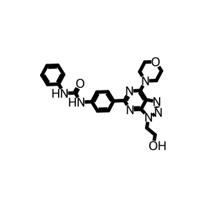 O=C(Nc1ccccc1)Nc1ccc(-c2nc(N3CCOCC3)c3nnn(CCO)c3n2)cc1